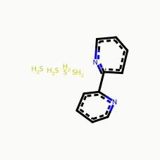 S.S.S.S.c1ccc(-c2ccccn2)nc1